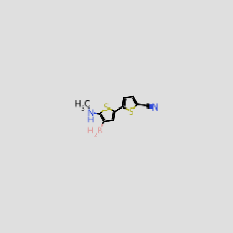 Bc1cc(-c2ccc(C#N)s2)sc1NC